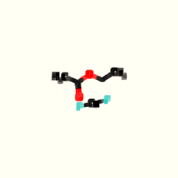 CCOC(C)=O.[F][Cu][F]